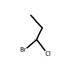 CC[C](Cl)Br